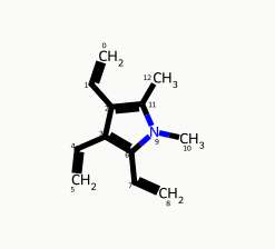 C=Cc1c(C=C)c(C=C)n(C)c1C